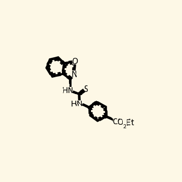 CCOC(=O)c1ccc(NC(=S)Nc2noc3ccccc23)cc1